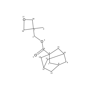 CC1(COC(=O)C23CC4CC(CC(C4)C2)C3)COC1